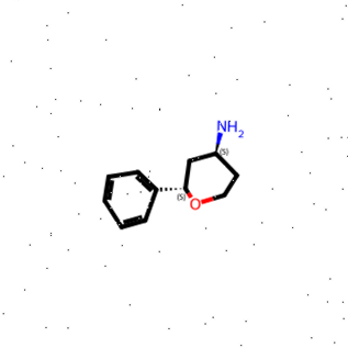 N[C@H]1CCO[C@H](c2ccccc2)C1